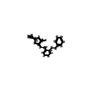 CN1C[C@H](O)CC1COc1ccccc1CCc1ccccc1